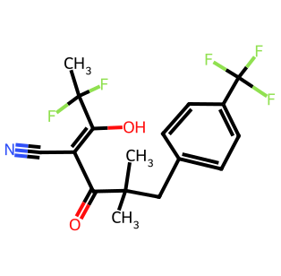 CC(F)(F)C(O)=C(C#N)C(=O)C(C)(C)Cc1ccc(C(F)(F)F)cc1